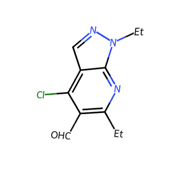 CCc1nc2c(cnn2CC)c(Cl)c1C=O